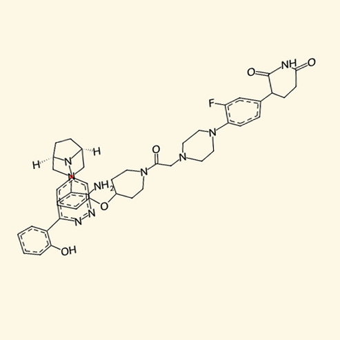 Nc1nnc(-c2ccccc2O)cc1N1C[C@H]2CC[C@@H](C1)N2c1cccc(OC2CCN(C(=O)CN3CCN(c4ccc(C5CCC(=O)NC5=O)cc4F)CC3)CC2)c1